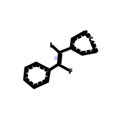 F/C(=C(/I)c1ccccc1)c1ccccc1